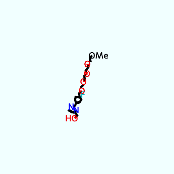 COCCOCCOCCOCCOCC1(F)CC=C(c2nccc(CO)n2)CC1